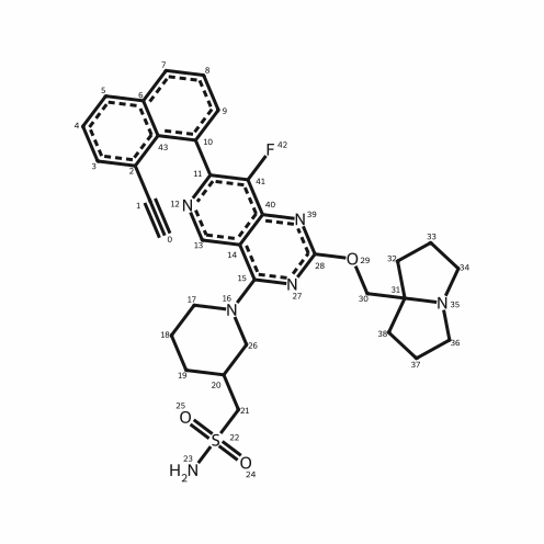 C#Cc1cccc2cccc(-c3ncc4c(N5CCCC(CS(N)(=O)=O)C5)nc(OCC56CCCN5CCC6)nc4c3F)c12